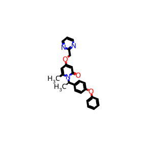 Cc1cc(OCc2ncccn2)cc(=O)n1[C@H](C)c1ccc(Oc2ccccc2)cc1